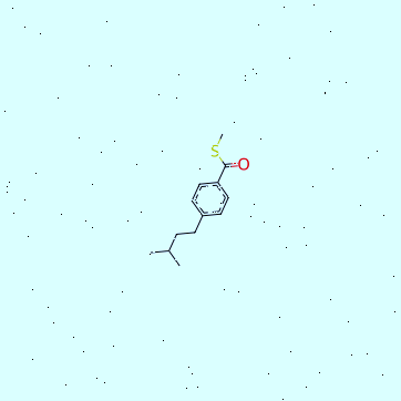 CSC(=O)c1ccc(CCC(C)C)cc1